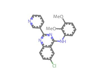 COc1cccc(Nc2nc(-c3cccnc3)nc3ccc(Cl)cc23)c1OC